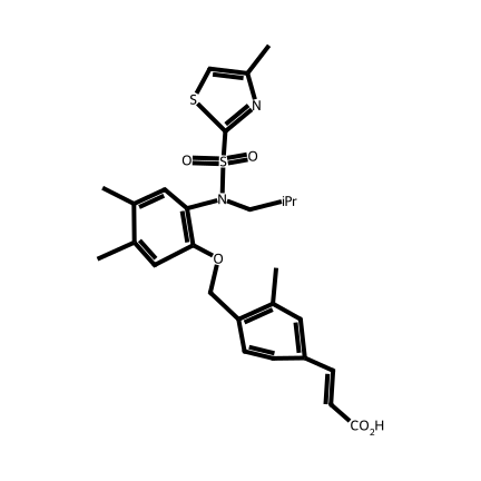 Cc1csc(S(=O)(=O)N(CC(C)C)c2cc(C)c(C)cc2OCc2ccc(C=CC(=O)O)cc2C)n1